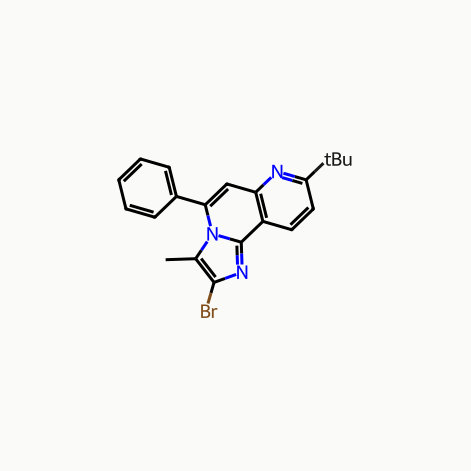 Cc1c(Br)nc2c3ccc(C(C)(C)C)nc3cc(-c3ccccc3)n12